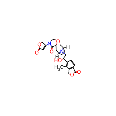 Cc1c([C@@H](O)CN2[C@@H]3CC[C@H]2C[C@@]2(C3)OCCN(C3=CC(=O)OC3)C2=O)ccc2c1COC2=O